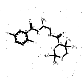 C[C@@H](CNC(=O)[C@@H]1OC(C)(C)OCC1(C)C)NC(=O)c1cc(F)ccc1F